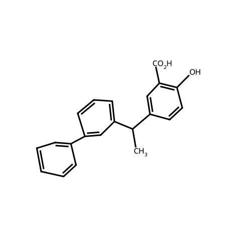 CC(c1cccc(-c2ccccc2)c1)c1ccc(O)c(C(=O)O)c1